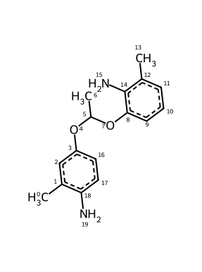 Cc1cc(OC(C)Oc2cccc(C)c2N)ccc1N